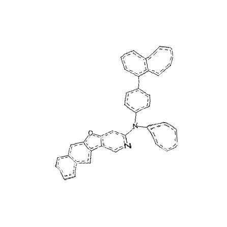 c1ccc(N(c2ccc(-c3cccc4ccccc34)cc2)c2cc3oc4cc5ccccc5cc4c3cn2)cc1